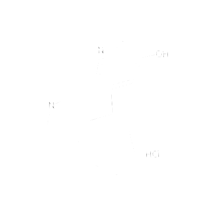 CN(C)CC1CCCCC=C1c1cncc(O)c1.Cl